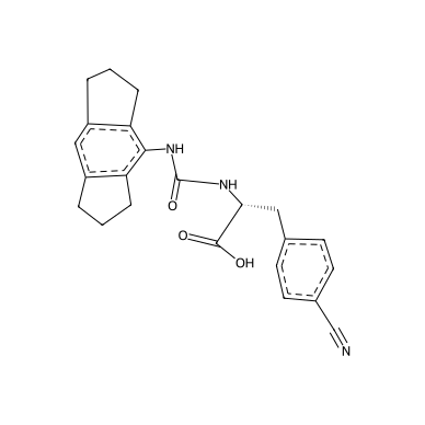 N#Cc1ccc(C[C@@H](NC(=O)Nc2c3c(cc4c2CCC4)CCC3)C(=O)O)cc1